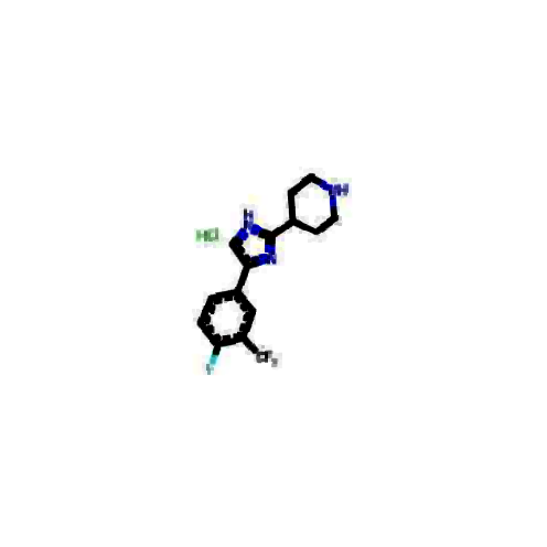 Cl.Fc1ccc(-c2c[nH]c(C3CCNCC3)n2)cc1C(F)(F)F